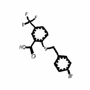 O=C(O)c1cc(C(F)(F)F)ccc1SCc1ccc(Br)cc1